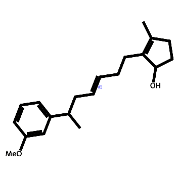 COc1cccc(C(C)C/C=C/CCC2=C(C)CCC2O)c1